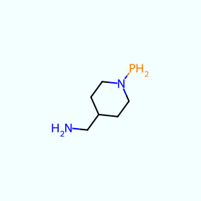 NCC1CCN(P)CC1